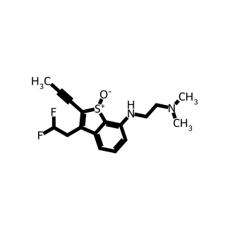 CC#Cc1c(CC(F)F)c2cccc(NCCN(C)C)c2[s+]1[O-]